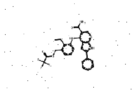 CCc1c(COC(=O)C(F)(F)F)cccc1Nc1c(C(N)=O)cnc2[nH]c(-c3ccccc3)cc12